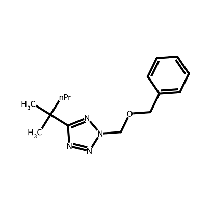 CCCC(C)(C)c1nnn(COCc2ccccc2)n1